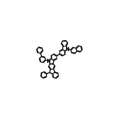 c1ccc(-c2cccc(-n3c4ccc(-c5ccc6c(c5)c5ccccc5n6-c5ccc6ccccc6c5)cc4c4cc5c(cc43)C(c3ccccc3)c3ccccc3-5)c2)cc1